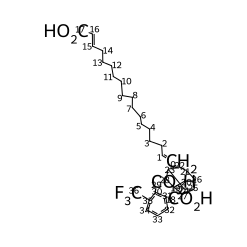 C=CCCCCCCCCCCCCCC=CC(=O)O.O=C(O)C12CC3CC(CC(C3)C1)C2.O=C(O)c1ccccc1C(F)(F)F